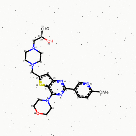 COc1ccc(-c2nc(N3CCOCC3)c3sc(CN4CCN(C[C@H](O)C=O)CC4)cc3n2)cn1